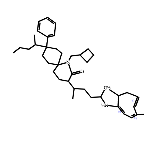 CCCC(C)C1(c2ccccc2)CCC2(CCC(C(C)CCC(O)N/C3=C/C=C(OC)\C=C\CC3C)C(=O)N2CC2CCC2)CC1